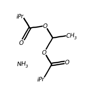 CC(OC(=O)C(C)C)OC(=O)C(C)C.N